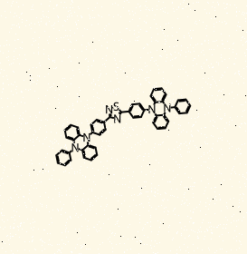 c1ccc(N2c3ccccc3N(c3ccc(-c4nsc(-c5ccc(N6c7ccccc7N(c7ccccc7)c7ccccc76)cc5)n4)cc3)c3ccccc32)cc1